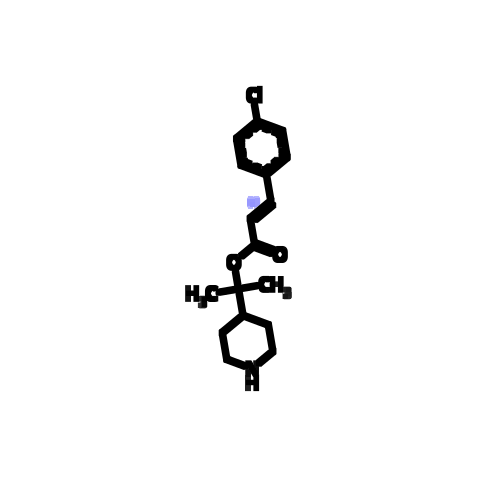 CC(C)(OC(=O)/C=C/c1ccc(Cl)cc1)C1CCNCC1